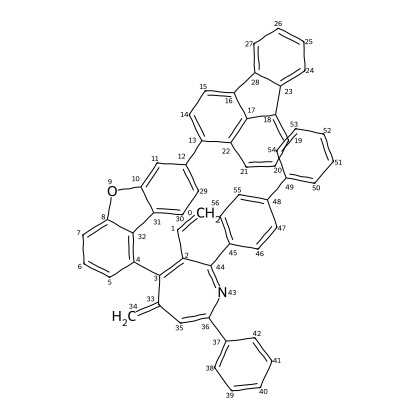 C=CC1=C(c2cccc3oc4cc(-c5ccc6c7c(cccc57)-c5ccccc5-6)ccc4c23)C(=C)C=C(c2ccccc2)N=C1c1ccc(-c2ccccc2)cc1